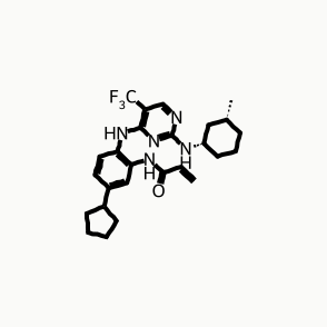 C=CC(=O)Nc1cc(C2CCCC2)ccc1Nc1nc(N[C@H]2CCC[C@@H](C)C2)ncc1C(F)(F)F